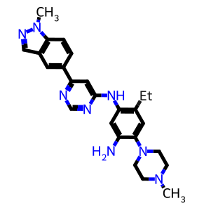 CCc1cc(N2CCN(C)CC2)c(N)cc1Nc1cc(-c2ccc3c(cnn3C)c2)ncn1